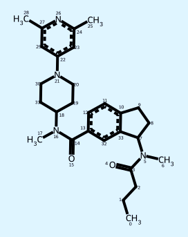 CCCC(=O)N(C)C1CCc2ccc(C(=O)N(C)C3CCN(c4cc(C)nc(C)c4)CC3)cc21